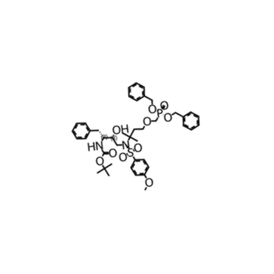 COc1ccc(S(=O)(=O)N(C[C@@H](O)[C@@H](Cc2ccccc2)NC(=O)OC(C)(C)C)C(C)(C)CCOCP(=O)(OCc2ccccc2)OCc2ccccc2)cc1